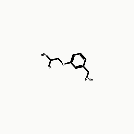 CCCC(CCC)COc1cccc(CNC)c1